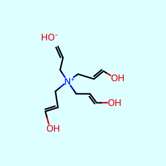 C=CC[N+](CC=CO)(CC=CO)CC=CO.[OH-]